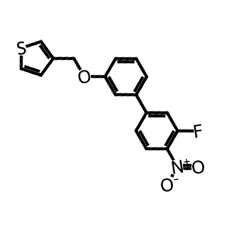 O=[N+]([O-])c1ccc(-c2cccc(OCc3ccsc3)c2)cc1F